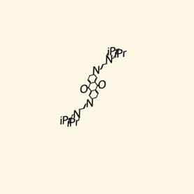 CC(C)CN(CC=CN=C1C=C2C(=O)C3=CCC(=NC=CCN(CC(C)C)CC(C)C)C=C3C(=O)C2=CC1)CC(C)C